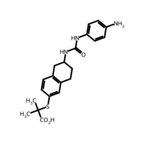 CC(C)(Sc1ccc2c(c1)CCC(NC(=O)Nc1ccc(N)cc1)C2)C(=O)O